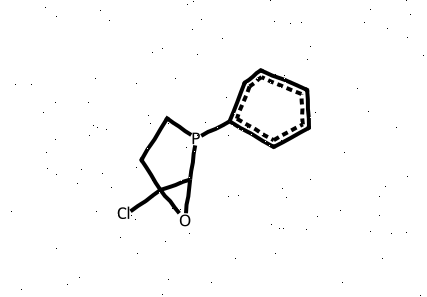 ClC12CCP(c3ccccc3)C1O2